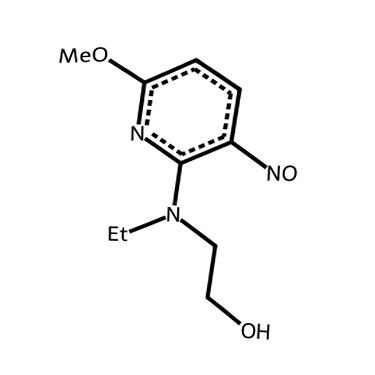 CCN(CCO)c1nc(OC)ccc1N=O